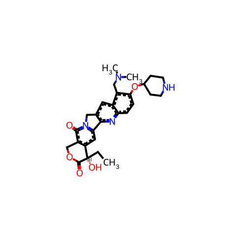 CC[C@@]1(O)C(=O)OCc2c1cc1n(c2=O)Cc2cc3c(CN(C)C)c(OC4CCNCC4)ccc3nc2-1